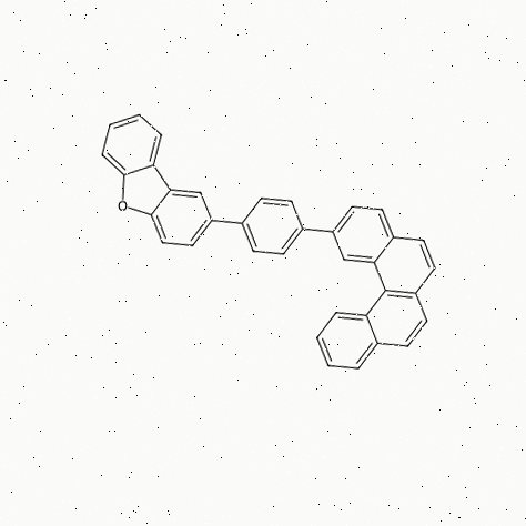 c1ccc2c(c1)ccc1ccc3ccc(-c4ccc(-c5ccc6oc7ccccc7c6c5)cc4)cc3c12